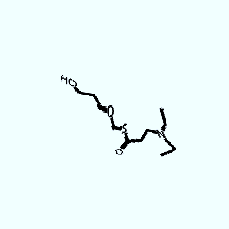 CCN(CC)CCC(=O)SCOCCCO